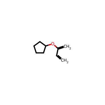 C=CC(=C)OC1CCCC1